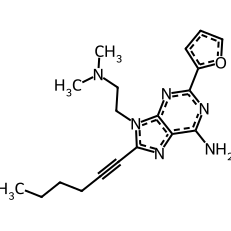 CCCCC#Cc1nc2c(N)nc(-c3ccco3)nc2n1CCN(C)C